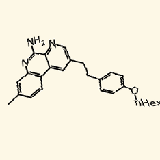 CCCCCCOc1ccc(CCc2cnc3c(N)nc4cc(C)ccc4c3c2)cc1